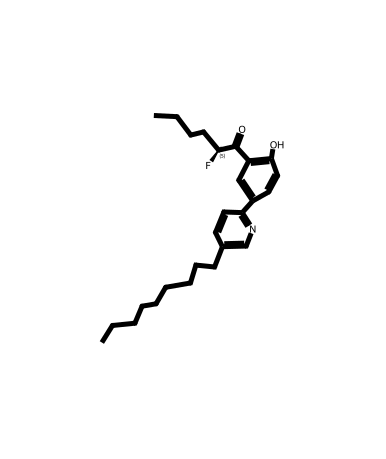 CCCCCCCCCc1ccc(-c2ccc(O)c(C(=O)[C@@H](F)CCCC)c2)nc1